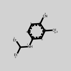 CCC(CC)Nc1ccc(C#N)c(C(F)(F)F)c1